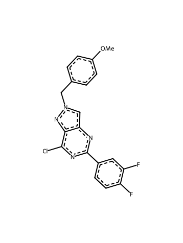 COc1ccc(Cn2cc3nc(-c4ccc(F)c(F)c4)nc(Cl)c3n2)cc1